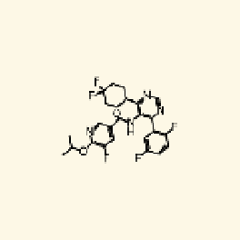 CC(C)Oc1ncc(C(=O)Nc2c(-c3cc(F)ccc3F)ncnc2C2CCC(F)(F)CC2)cc1F